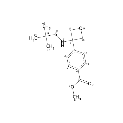 COC(=O)c1ccc(C2(NSC(C)(C)C)COC2)cc1